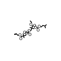 C=CCOC(=O)C(C)(CO)COC(=O)OCC(C)(COC(=O)OCCC(C)C)C(=O)OCC